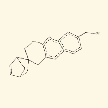 CC(C)Cc1ccc2cc3c(cc2c1)CCC1(C3)CC2C=CC1C2